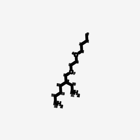 CCCCOCCOCC(CN)CCCN